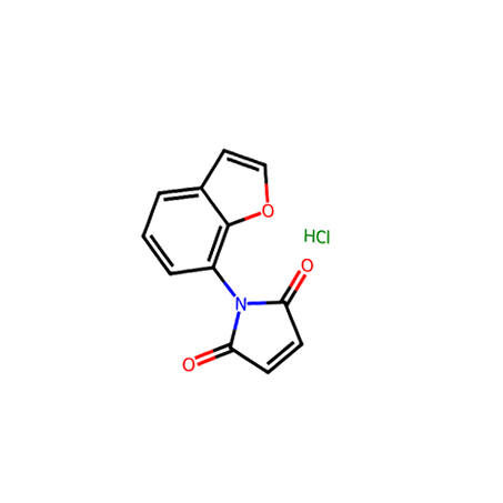 Cl.O=C1C=CC(=O)N1c1cccc2ccoc12